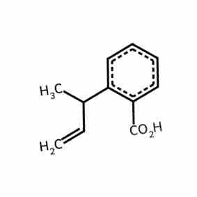 C=CC(C)c1ccccc1C(=O)O